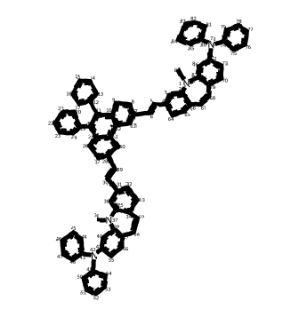 CN1c2cc(/C=C/c3ccc4c(-c5ccccc5)c(-c5ccccc5)c5ccc(/C=C/c6ccc7c(c6)N(C)c6cc(N(c8ccccc8)c8ccccc8)ccc6C=C7)cc5c4c3)ccc2C=Cc2ccc(N(c3ccccc3)c3ccccc3)cc21